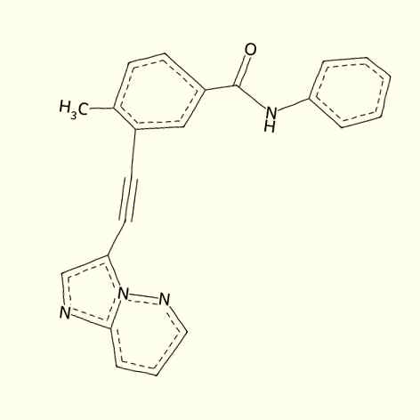 Cc1ccc(C(=O)Nc2ccccc2)cc1C#Cc1cnc2cccnn12